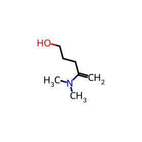 C=C(CCCO)N(C)C